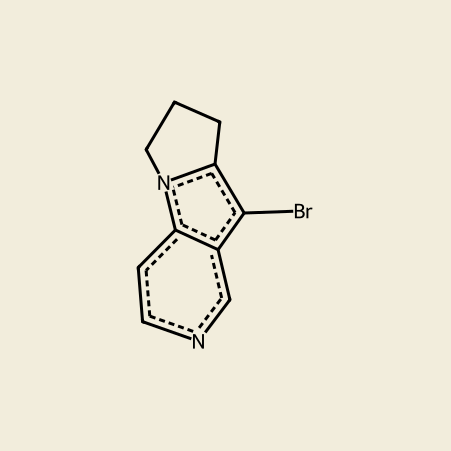 Brc1c2n(c3ccncc13)CCC2